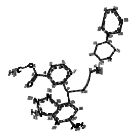 COC(=O)c1cccc(C(CCN[C@H]2CC[C@H](c3ccccc3)CC2)c2cc(N)nc3[nH]nnc23)c1